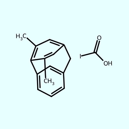 Cc1cc2cc(C)c1-c1cccc(c1)C2.O=C(O)I